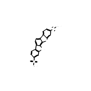 CCCCCCCS(=O)(=O)c1ccc2c(c1)oc1c2ccc2c3ccc(S(=O)(=O)CCCCCCC)cc3oc21